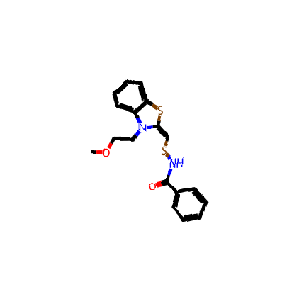 COCCN1C(=CSNC(=O)c2ccccc2)Sc2ccccc21